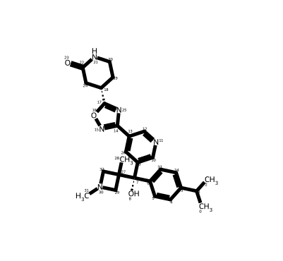 CC(C)c1ccc([C@](O)(c2cncc(-c3noc([C@H]4CCNC(=O)C4)n3)c2)C2(C)CN(C)C2)cc1